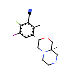 Cc1c([C@@H]2CN3CCNC[C@H]3CO2)cc(I)c(F)c1C#N